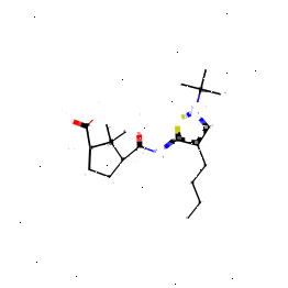 CCCCc1cn(C(C)(C)C)sc1=NC(=O)[C@@]1(C)CC[C@@](C)(C(=O)O)C1(C)C